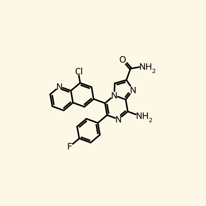 NC(=O)c1cn2c(-c3cc(Cl)c4ncccc4c3)c(-c3ccc(F)cc3)nc(N)c2n1